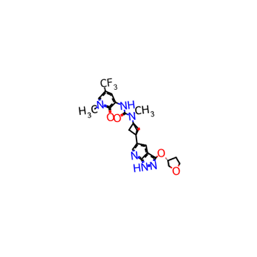 CN(C(=O)Nc1cc(C(F)(F)F)cn(C)c1=O)C12CC(c3cnc4[nH]nc(O[C@@H]5CCOC5)c4c3)(C1)C2